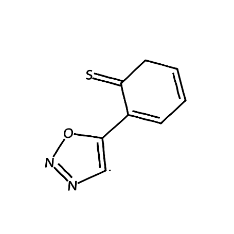 S=C1CC=CC=C1c1[c]nno1